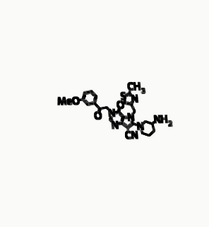 COc1cccc(C(=O)Cn2cnc3c(C#N)c(N4CCCC(N)C4)n(Cc4csc(C)n4)c3c2=O)c1